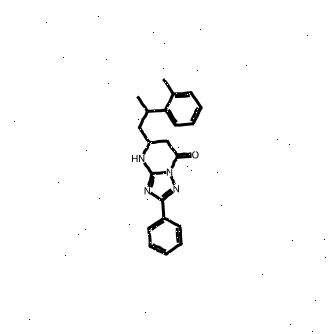 Cc1ccccc1C(C)CC1CC(=O)n2nc(-c3ccccc3)nc2N1